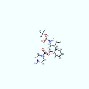 CC1CN(C(=O)OC(C)(C)C)c2cc(OC(=O)N3CCN(C)CC3)c3ccccc3c21